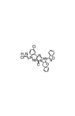 N/C(Cl)=C\N(N)c1ccc(Cl)cc1-c1cc(=O)n(C(Cc2ccccc2)C(=O)Nc2noc3ccccc23)cn1